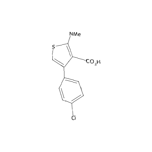 CNc1scc(-c2ccc(Cl)cc2)c1C(=O)O